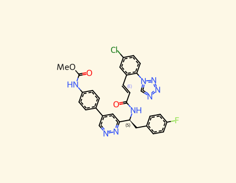 COC(=O)Nc1ccc(-c2cnnc([C@H](Cc3ccc(F)cc3)NC(=O)/C=C/c3cc(Cl)ccc3-n3cnnn3)c2)cc1